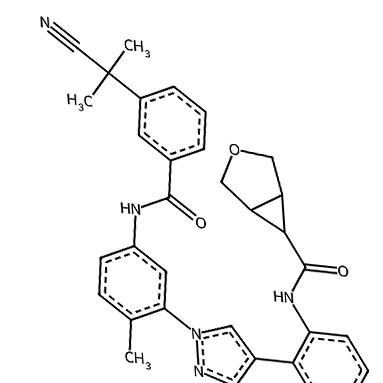 Cc1ccc(NC(=O)c2cccc(C(C)(C)C#N)c2)cc1-n1cc(-c2cnccc2NC(=O)C2C3COCC32)cn1